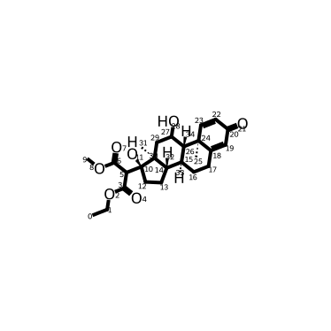 CCOC(=O)C(C(=O)OC)[C@@]1(O)CC[C@H]2[C@@H]3CCC4=CC(=O)C=C[C@]4(C)[C@H]3C(O)C[C@@]21C